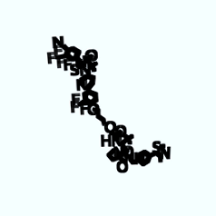 Cc1ncsc1-c1ccc(CNC(=O)C2CCCN2C(=O)C(NC(=O)COCCCCOc2ccc(-c3ccc(N4C(=S)N(c5ccc(C#N)c(C(F)(F)F)c5F)C(=O)C4(C)C)cn3)cc2C(F)(F)F)C(C)(C)C)cc1